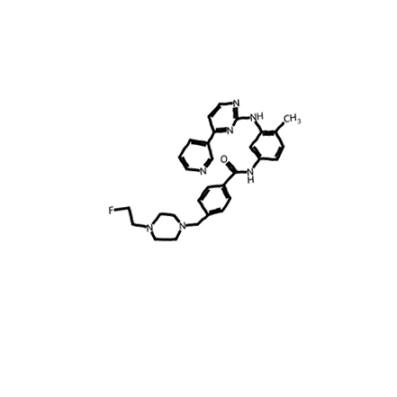 Cc1ccc(NC(=O)c2ccc(CN3CCN(CCF)CC3)cc2)cc1Nc1nccc(-c2cccnc2)n1